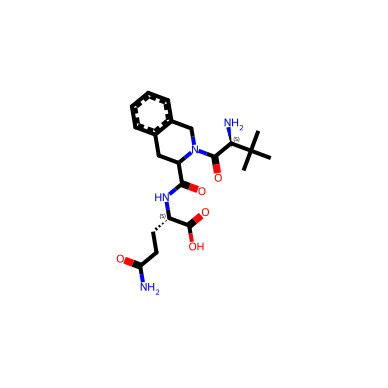 CC(C)(C)[C@H](N)C(=O)N1Cc2ccccc2CC1C(=O)N[C@@H](CCC(N)=O)C(=O)O